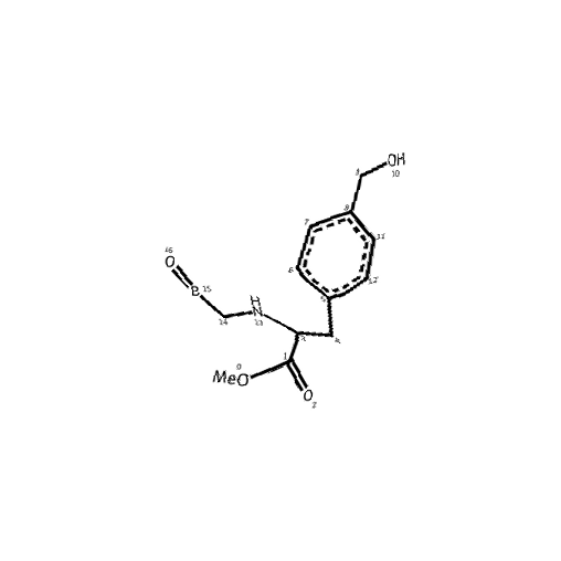 COC(=O)C(Cc1ccc(CO)cc1)NCB=O